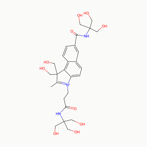 CC1=[N+](CCC(=O)NC(CO)(CO)CO)c2ccc3cc(C(=O)NC(CO)(CO)CO)ccc3c2C1(CO)CO